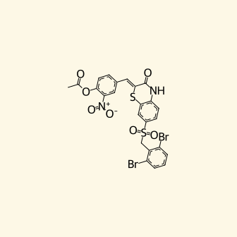 CC(=O)Oc1ccc(C=C2Sc3cc(S(=O)(=O)Cc4c(Br)cccc4Br)ccc3NC2=O)cc1[N+](=O)[O-]